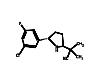 CC(C)(C#N)C1CC[C@@H](c2cc(F)cc(Cl)c2)N1